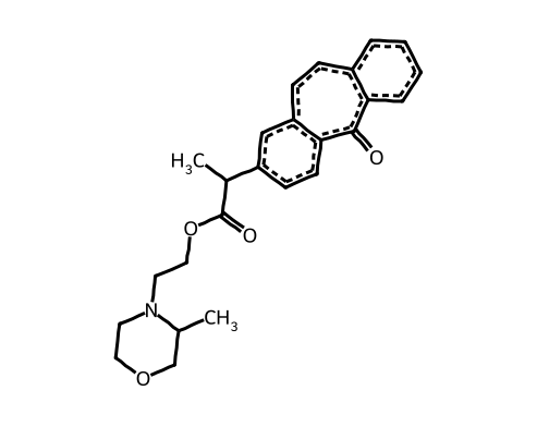 CC(C(=O)OCCN1CCOCC1C)c1ccc2c(=O)c3ccccc3ccc2c1